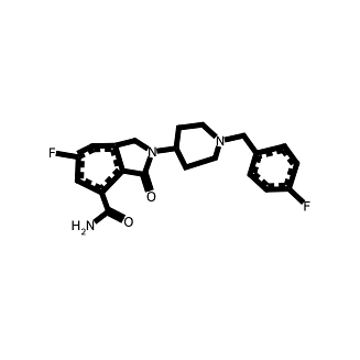 NC(=O)c1cc(F)cc2c1C(=O)N(C1CCN(Cc3ccc(F)cc3)CC1)C2